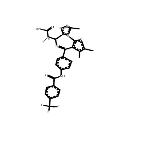 Cc1sc2c(c1C)C(c1ccc(NC(=O)c3ccc(C(F)(F)F)cc3)cc1)=NC([C@H](C)C(=O)O)c1nnc(C)n1-2